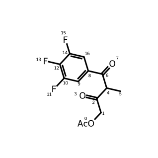 CC(=O)OCC(=O)C(C)C(=O)c1cc(F)c(F)c(F)c1